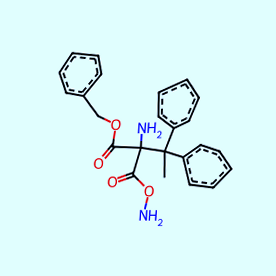 CC(c1ccccc1)(c1ccccc1)C(N)(C(=O)ON)C(=O)OCc1ccccc1